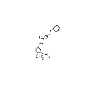 Cc1ccc(/C=C/C(=O)OCCCc2ccccc2)cc1C